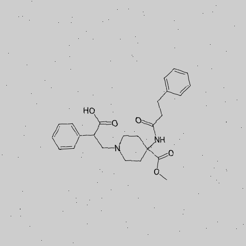 COC(=O)C1(NC(=O)CCc2ccccc2)CCN(CC(C(=O)O)c2ccccc2)CC1